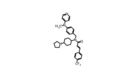 CN(c1ccncc1)c1ccc(CN(C(=O)C=Cc2ccc(C(F)(F)F)cc2)C2CCC(N3CCCC3)CC2)cc1